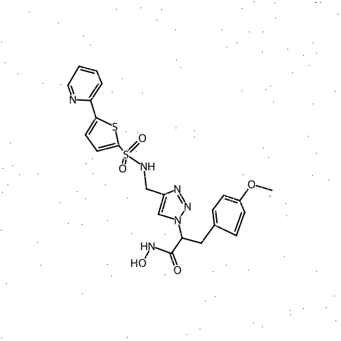 COc1ccc(CC(C(=O)NO)n2cc(CNS(=O)(=O)c3ccc(-c4ccccn4)s3)nn2)cc1